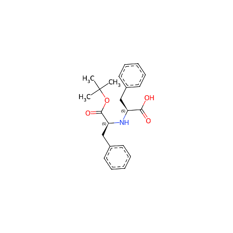 CC(C)(C)OC(=O)[C@H](Cc1ccccc1)N[C@@H](Cc1ccccc1)C(=O)O